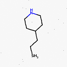 [SiH3]CCC1CCNCC1